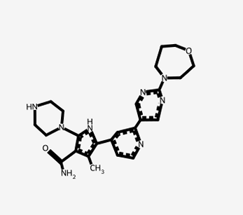 Cc1c(-c2ccnc(-c3cnc(N4CCCOCC4)nc3)c2)[nH]c(N2CCNCC2)c1C(N)=O